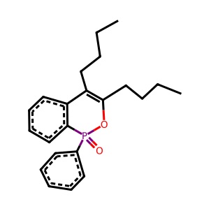 CCCCC1=C(CCCC)c2ccccc2P(=O)(c2ccccc2)O1